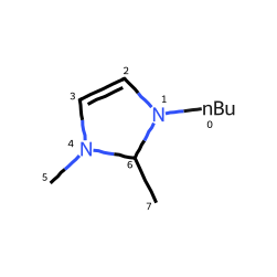 CCCCN1C=CN(C)C1C